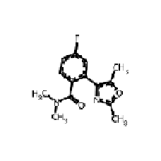 Cc1nc(-c2cc(F)ccc2C(=O)N(C)C)c(C)o1